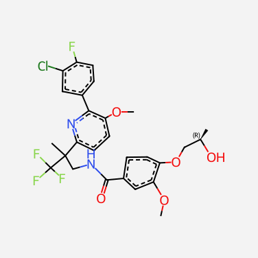 COc1cc(C(=O)NCC(C)(c2ccc(OC)c(-c3ccc(F)c(Cl)c3)n2)C(F)(F)F)ccc1OC[C@@H](C)O